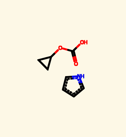 O=C(O)OC1CC1.c1cc[nH]c1